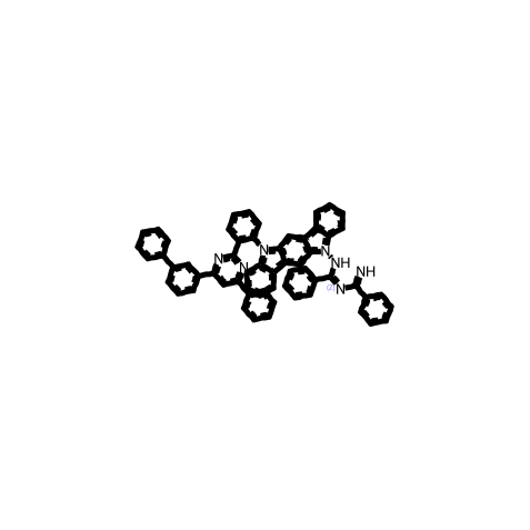 N=C(/N=C(\Nn1c2ccccc2c2cc3c(cc21)c1ccccc1n3-c1ccccc1-c1nc(-c2ccccc2)cc(-c2cccc(-c3ccccc3)c2)n1)c1ccccc1)c1ccccc1